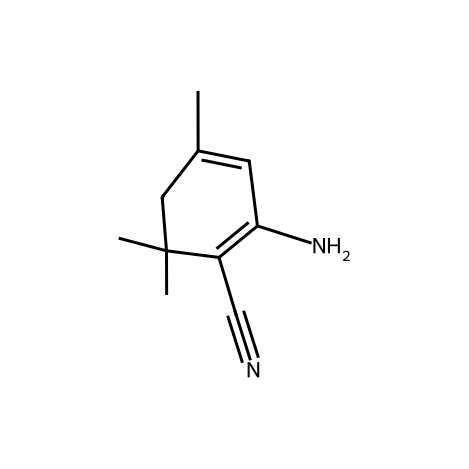 CC1=CC(N)=C(C#N)C(C)(C)C1